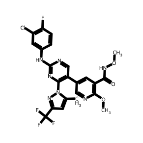 CONC(=O)c1cc(-c2cnc(Nc3ccc(F)c(Cl)c3)nc2-n2nc(C(F)(F)F)cc2C)cnc1OC